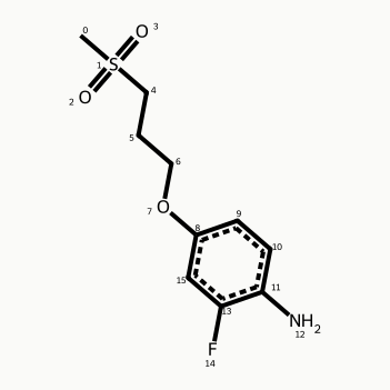 CS(=O)(=O)CCCOc1ccc(N)c(F)c1